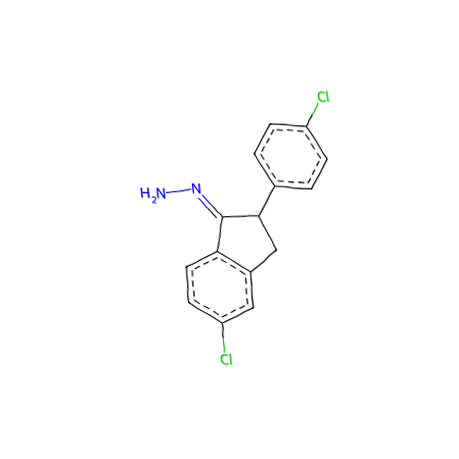 NN=C1c2ccc(Cl)cc2CC1c1ccc(Cl)cc1